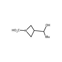 CC(C)(C)C(O)C1CN(C(=O)O)C1